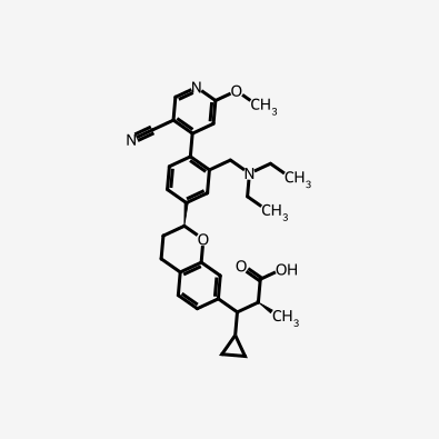 CCN(CC)Cc1cc([C@@H]2CCc3ccc(C(C4CC4)[C@H](C)C(=O)O)cc3O2)ccc1-c1cc(OC)ncc1C#N